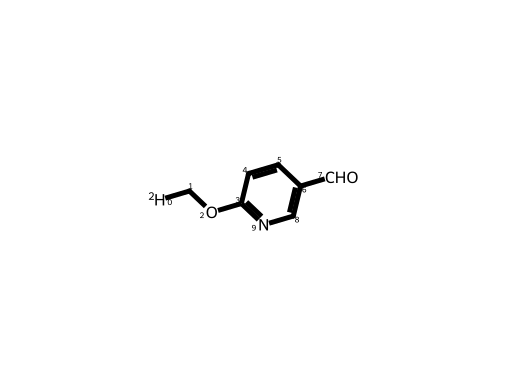 [2H]COc1ccc(C=O)cn1